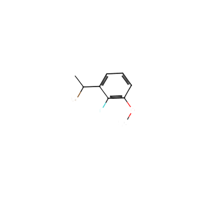 CC(Br)c1cccc(OC(F)(F)F)c1F